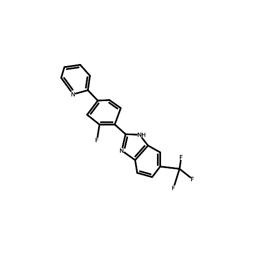 Fc1cc(-c2ccccn2)ccc1-c1nc2ccc(C(F)(F)F)cc2[nH]1